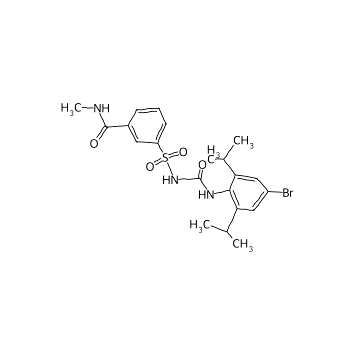 CNC(=O)c1cccc(S(=O)(=O)NC(=O)Nc2c(C(C)C)cc(Br)cc2C(C)C)c1